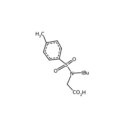 Cc1ccc(S(=O)(=O)N(CC(=O)O)C(C)(C)C)cc1